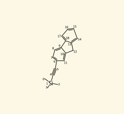 C[Si](C)(C)C#Cc1ccc2c(c1)Cc1ccccc1-2